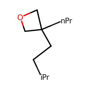 CCCC1(CCC(C)C)COC1